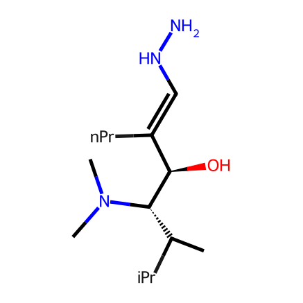 CCC/C(=C\NN)[C@@H](O)[C@H](C(C)C(C)C)N(C)C